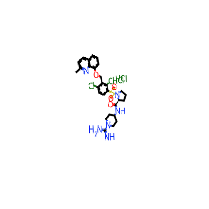 Cc1ccc2cccc(OCc3c(Cl)ccc(S(=O)(=O)N4CCC[C@H]4C(=O)NC4CCN(C(=N)N)CC4)c3Cl)c2n1.Cl.Cl